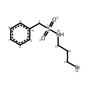 O=S(=O)(Cc1ccccc1)NCCCBr